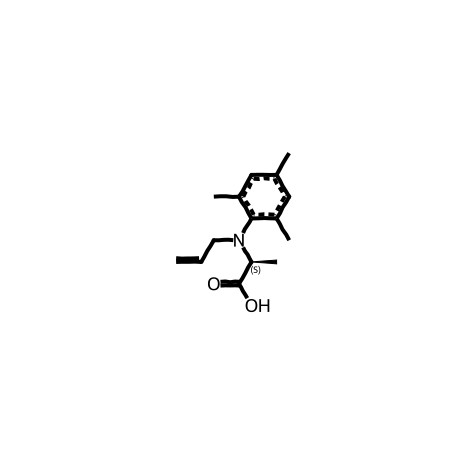 C=CCN(c1c(C)cc(C)cc1C)[C@@H](C)C(=O)O